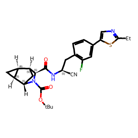 CCc1ncc(-c2ccc(C[C@@H](C#N)NC(=O)[C@@H]3[C@H]4C[C@@H]([C@H]5C[C@@H]45)N3C(=O)OC(C)(C)C)c(F)c2)s1